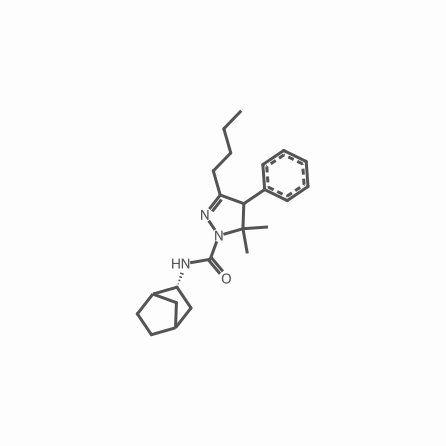 CCCCC1=NN(C(=O)N[C@@H]2CC3CCC2C3)C(C)(C)C1c1ccccc1